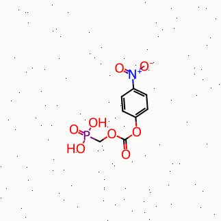 O=C(OCP(=O)(O)O)Oc1ccc([N+](=O)[O-])cc1